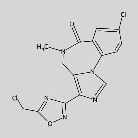 CN1Cc2c(-c3noc(CCl)n3)ncn2-c2ccc(Cl)cc2C1=O